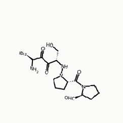 CC[C@H](C)C(N)C(=O)C(=O)[C@H](CO)NN1CCC[C@H]1C(=O)N1CCC[C@H]1C=O